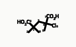 CC(C)(CC(C)(Cl)C(=O)O)C(=O)O